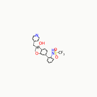 O=S(=O)(Nc1ccccc1-c1ccc2c(c1)OC[C@@H](Cc1ccncc1)[C@@H]2O)C(F)(F)F